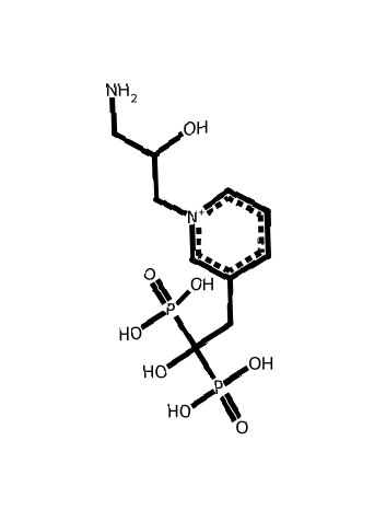 NCC(O)C[n+]1cccc(CC(O)(P(=O)(O)O)P(=O)(O)O)c1